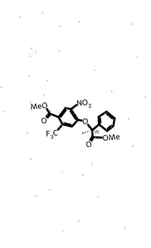 COC(=O)c1cc([N+](=O)[O-])c(O[C@](C)(C(=O)OC)c2ccccc2)cc1C(F)(F)F